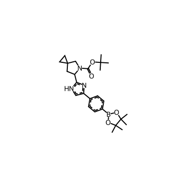 CC(C)(C)OC(=O)N1CC2(CC2)CC1c1nc(-c2ccc(B3OC(C)(C)C(C)(C)O3)cc2)c[nH]1